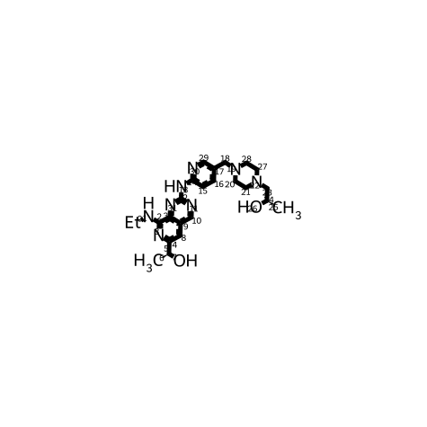 CCNc1nc([C@@H](C)O)cc2cnc(Nc3ccc(CN4CCN(C[C@H](C)O)CC4)cn3)nc12